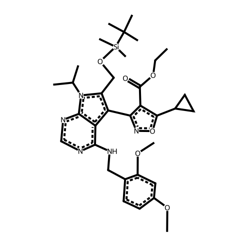 CCOC(=O)c1c(-c2c(CO[Si](C)(C)C(C)(C)C)n(C(C)C)c3ncnc(NCc4ccc(OC)cc4OC)c23)noc1C1CC1